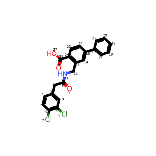 O=C(Cc1ccc(Cl)c(Cl)c1)NCc1cc(-c2ccccc2)ccc1C(=O)O